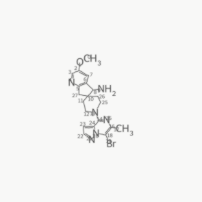 COc1cnc2c(c1)C(N)C1(CCN(c3nc(C)c(Br)n4nccc34)CC1)C2